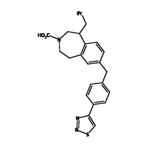 CC(C)CC1CN(C(=O)O)CCc2cc(Cc3ccc(-c4csnn4)cc3)ccc21